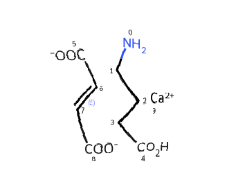 NCCCC(=O)O.O=C([O-])/C=C/C(=O)[O-].[Ca+2]